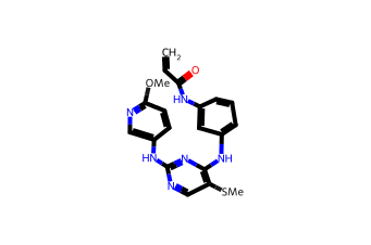 C=CC(=O)Nc1cccc(Nc2nc(Nc3ccc(OC)nc3)ncc2SC)c1